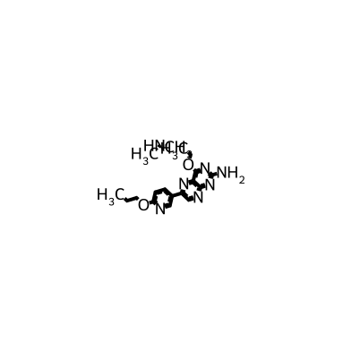 CCCOc1ccc(-c2cnc3nc(N)nc(OCC)c3n2)cn1.CNC